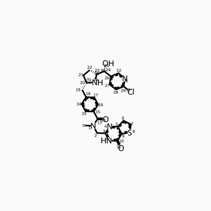 CN(Cc1nc2ccsc2c(=O)[nH]1)C(=O)c1ccc(C[C@@H]2CC[C@H]([C@H](O)c3ccc(Cl)nc3)N2)cc1